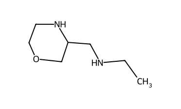 CCNCC1COCCN1